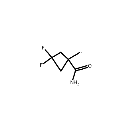 [CH2]C1(C(N)=O)CC(F)(F)C1